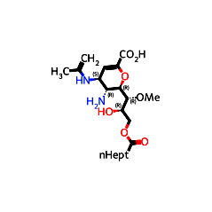 C=C(C)N[C@H]1C=C(C(=O)O)O[C@@H]([C@H](OC)[C@H](O)COC(=O)CCCCCCC)[C@@H]1N